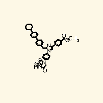 COC(=O)c1ccc(-c2cn(-c3ccc(N4CC(=O)NS4(=O)=O)cc3)c(Cc3ccc(-c4ccc(C5CCCCC5)cc4)cc3)n2)cc1